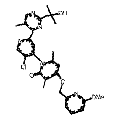 COc1cccc(COc2cc(C)n(-c3cc(-c4nc(C(C)(C)O)ncc4C)ncc3Cl)c(=O)c2C)n1